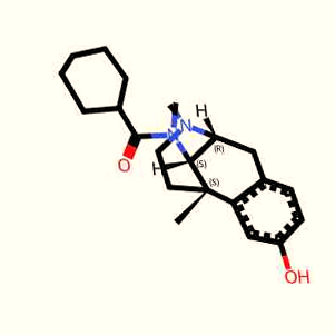 CN1CC[C@@]2(C)c3cc(O)ccc3C[C@@H]1[C@H]2N(C)C(=O)C1CCCCC1